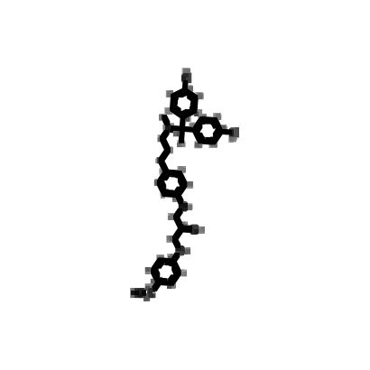 CN(CCCc1ccc(OCC(=O)COc2ccc(C(=O)O)cc2)cc1)C(C)(c1ccc(Cl)cc1)c1ccc(Cl)cc1